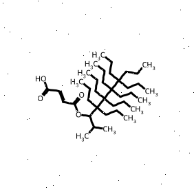 CCCC(CCC)(CCC)C(CCC)(CCC)C(CCC)(CCC)C(CCC)(CCC)C(OC(=O)/C=C/C(=O)O)C(C)C